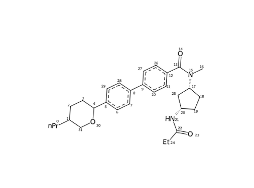 CCCC1CCC(c2ccc(-c3ccc(C(=O)N(C)[C@@H]4CC[C@H](NC(=O)CC)C4)cc3)cc2)OC1